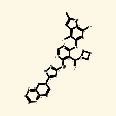 Cc1cc2c(F)c(Oc3ncnc(Nc4cc(-c5ccc6nccnc6c5)[nH]n4)c3C(=O)N3CCC3)cc(F)c2[nH]1